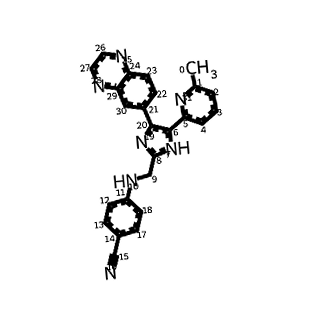 Cc1cccc(-c2[nH]c(CNc3ccc(C#N)cc3)nc2-c2ccc3nccnc3c2)n1